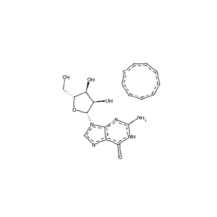 Nc1nc2c(ncn2[C@@H]2O[C@H](CO)[C@@H](O)[C@H]2O)c(=O)[nH]1.c1ccccsccc1